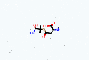 CN[C@@H](CC(=O)SC(C)(C)[C@@H](N)O)C(=O)O